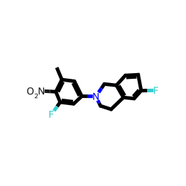 Cc1cc(N2CCc3cc(F)ccc3C2)cc(F)c1[N+](=O)[O-]